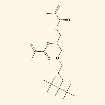 C=C(C)C(=O)OCC(COCCC[Si](C)(C(C)(C)C)C(C)(C)C)OC(=O)C(=C)C